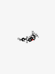 CCOc1ccc(C(=O)Nc2ccc(F)c([C@@]3(C)N=C(N)C(C)(C)S4(=O)=NCC[C@@H]34)c2)nc1